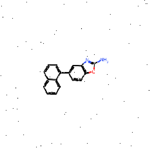 Nc1nc2cc(-c3cccc4ccccc34)ccc2o1